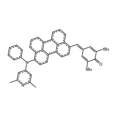 Cc1cc(N(c2ccccc2)c2ccc3c4ccc(C=C5C=C(C(C)(C)C)C(=O)C(C(C)(C)C)=C5)c5cccc(c6cccc2c63)c54)cc(C)n1